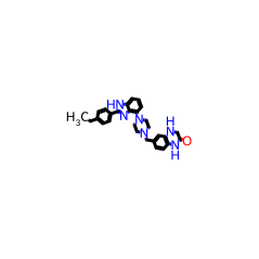 CCc1ccc(-c2nc3c(N4CCN(Cc5ccc6c(c5)NCC(=O)N6)CC4)cccc3[nH]2)cc1